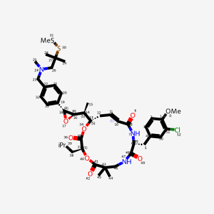 COc1ccc(C[C@H]2NC(=O)/C=C/C[C@@H]([C@H](C)[C@H]3O[C@@H]3c3ccc(CN(C)CC(C)(C)SSC)cc3)OC(=O)[C@H](CC(C)C)OC(=O)C(C)(C)CNC2=O)cc1Cl